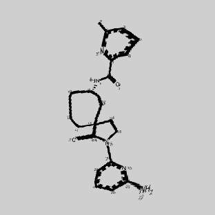 Cc1cccc(C(=O)N[C@H]2CCC[C@]3(CCN(c4cccc(N)n4)C3=O)C2)n1